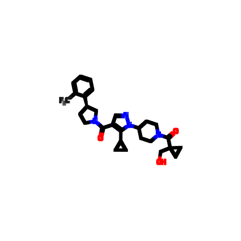 O=C(c1cnn(C2CCN(C(=O)C3(CO)CC3)CC2)c1C1CC1)N1CC[C@@H](c2ccccc2C(F)(F)F)C1